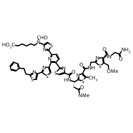 CNC(=O)C[C@H](NC(=O)c1csc(-c2ccc(-c3nc(N(C=O)CCCCCC(=O)O)cs3)nc2-c2csc(-c3csc(CCc4ccccc4)n3)n2)n1)c1nc(C(=O)NCc2nc(C(=O)NCC(N)=O)c(COC)s2)c(C)s1